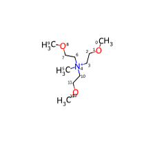 COCC[N+](C)(CCOC)CCOC